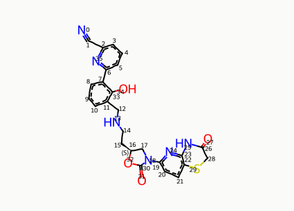 N#Cc1cccc(-c2cccc(CNCC[C@H]3CN(c4ccc5c(n4)NC(=O)CS5)C(=O)O3)c2O)n1